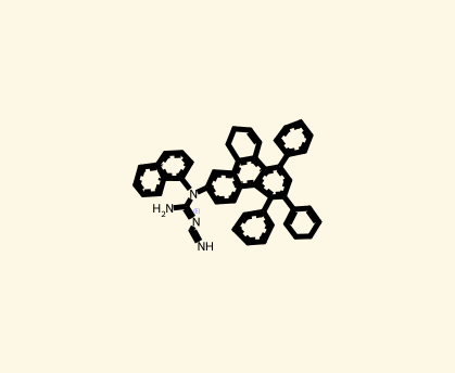 N=C/N=C(\N)N(c1ccc2c(c1)c1c(c3c(-c4ccccc4)cc(C4=CCCC=C4)c(-c4ccccc4)c32)C=CCC1)c1cccc2ccccc12